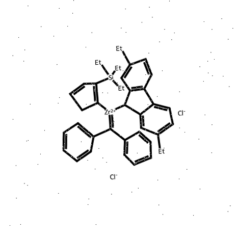 CCc1ccc2c(c1)[CH]([Zr+2]([C]1=C([Si](CC)(CC)CC)C=CC1)=[C](c1ccccc1)c1ccccc1)c1cc(CC)ccc1-2.[Cl-].[Cl-]